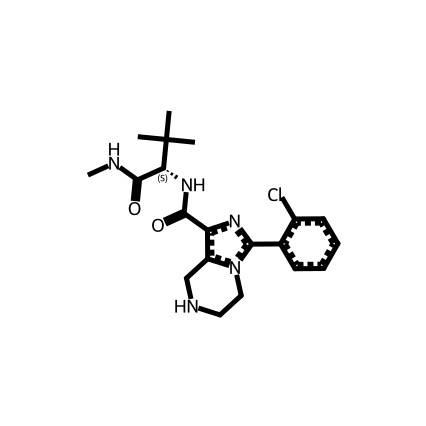 CNC(=O)[C@@H](NC(=O)c1nc(-c2ccccc2Cl)n2c1CNCC2)C(C)(C)C